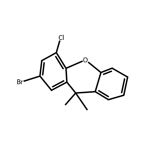 CC1(C)c2ccccc2Oc2c(Cl)cc(Br)cc21